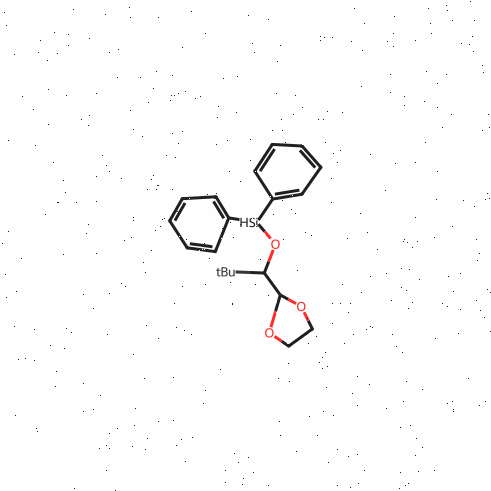 CC(C)(C)C(O[SiH](c1ccccc1)c1ccccc1)C1OCCO1